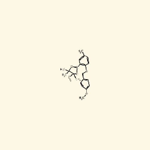 COc1ccc(COc2ccc(C)cc2B2OC(C)(C)C(C)(C)O2)cc1